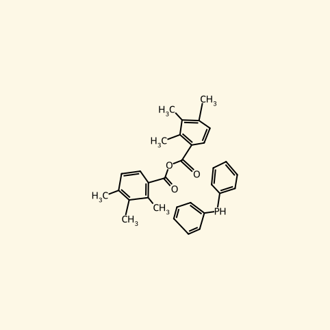 Cc1ccc(C(=O)OC(=O)c2ccc(C)c(C)c2C)c(C)c1C.c1ccc(Pc2ccccc2)cc1